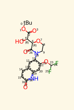 CC(C)(C)OC(=O)[C@H](O)[C@H]1OCCN(c2cc3ccc(=O)[nH]c3cc2OC(F)F)C1=O